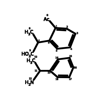 CC(=O)c1ccccc1C(C)C(=O)O.CC(N)c1ccccc1